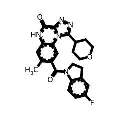 Cc1cc2[nH]c(=O)c3nnc(C4CCOCC4)n3c2cc1C(=O)N1CCc2cc(F)ccc21